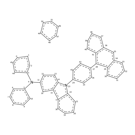 c1ccc(N(c2ccccc2)c2ccc3c(c2)c2ccccc2n3-c2ccc(-c3c4ccccc4cc4ccccc34)cc2)cc1.c1ccccc1